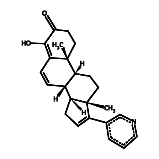 C[C@]12CCC(=O)C(O)=C1C=C[C@@H]1[C@@H]2CC[C@]2(C)C(c3cccnc3)=CC[C@@H]12